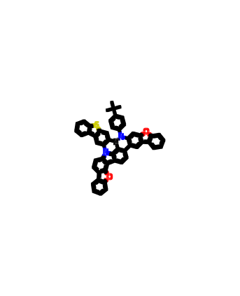 CC(C)(C)c1ccc(N2B3c4cc5sc6ccccc6c5cc4-n4c5ccc6c7ccccc7oc6c5c5ccc(c3c54)-c3cc4c(cc32)oc2ccccc24)cc1